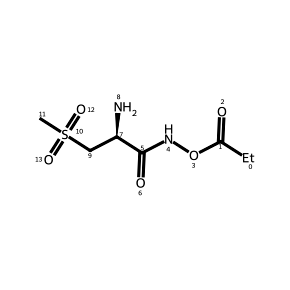 CCC(=O)ONC(=O)[C@H](N)CS(C)(=O)=O